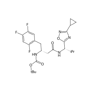 CC(C)[C@H](NC(=O)C[C@@H](Cc1cc(F)c(F)cc1F)NC(=O)OC(C)(C)C)c1nc(C2CC2)no1